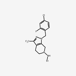 CCNN1CCc2c(C(F)(F)F)nn(Cc3ccc(Cl)cc3F)c2C1